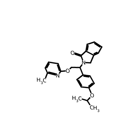 Cc1cccc(OCC(c2ccc(OC(C)C)cc2)N2Cc3ccccc3C2=O)n1